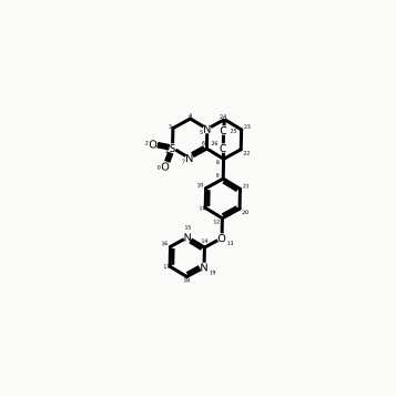 O=S1(=O)CCN2C(=N1)C1(c3ccc(Oc4ncccn4)cc3)CCC2CC1